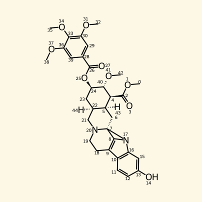 COC(=O)[C@H]1[C@H]2C[C@@]34c5c(c6ccc(O)cc6n53)CCN4C[C@H]2C[C@@H](OC(=O)c2cc(OC)c(OC)c(OC)c2)[C@@H]1OC